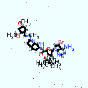 COc1ccc(CN(C)c2ccc3ccc(NC(=O)[C@H]4O[C@@H](n5cc(Br)c6c(N)ncnc65)C[C@@H]4O[Si](C)(C)C(C)(C)C)cc3n2)c(OC)c1